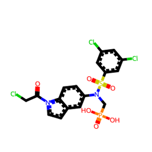 O=C(CCl)n1ccc2cc(N(CP(=O)(O)O)S(=O)(=O)c3cc(Cl)cc(Cl)c3)ccc21